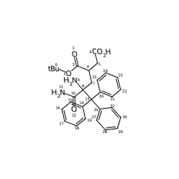 CC(C)(C)OC(=O)C(CC(=O)O)CC(N)(C(N)=O)C(c1ccccc1)(c1ccccc1)c1ccccc1